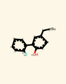 CC(C)(C)Cc1ccc(O)c(-c2ccccc2F)c1